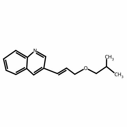 CC(C)COC/C=C/c1cnc2ccccc2c1